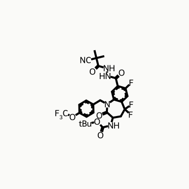 CC(C)(C)OC(=O)NC1CC(F)(F)c2cc(F)c(C(=O)NNC(=O)C(C)(C)C#N)cc2N(Cc2ccc(OC(F)(F)F)cc2)C1=O